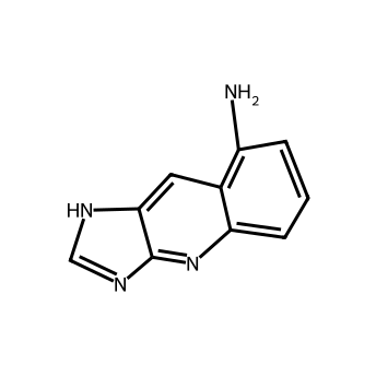 Nc1cccc2nc3nc[nH]c3cc12